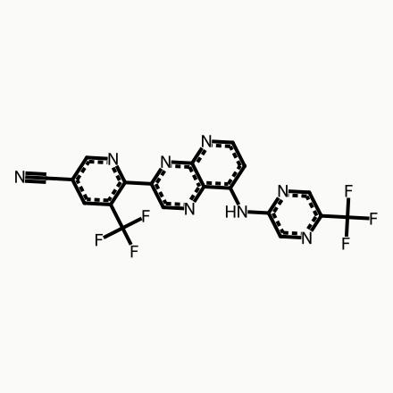 N#Cc1cnc(-c2cnc3c(Nc4cnc(C(F)(F)F)cn4)ccnc3n2)c(C(F)(F)F)c1